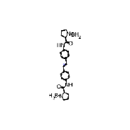 BN1CCCC1C(=O)Nc1ccc(/C=C/c2ccc(NC(=O)C3CCCN3B)cc2)cc1